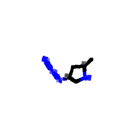 C[C@@H]1C[C@@H](N=[N+]=[N-])CN1